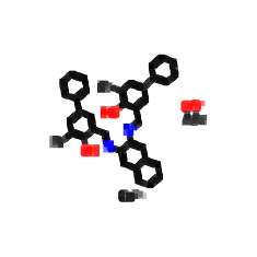 CC(=O)[O-].CC(=O)[O-].CC(C)c1cc(-c2ccccc2)cc(C=Nc2cc3ccccc3cc2N=Cc2cc(-c3ccccc3)cc(C(C)C)c2O)c1O.[Co+2]